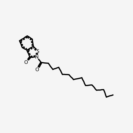 CCCCCCCCCCCCCC(=O)n1sc2ccccc2c1=O